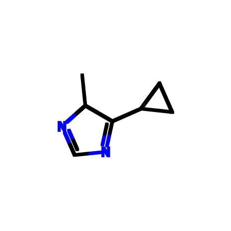 CC1N=CN=C1C1CC1